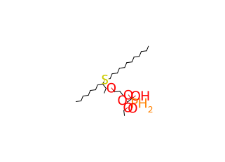 CCCCCCCCCCCCSC(CCCCCCC)C(C)OCCCOC(O)([PH2]=O)C(=O)OCC